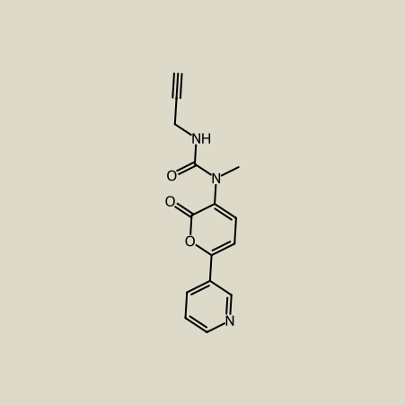 C#CCNC(=O)N(C)c1ccc(-c2cccnc2)oc1=O